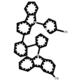 N#Cc1ccc(-n2c3ccccc3c3ccc(-c4ccccc4-c4ccccc4-n4c5ccccc5c5cc(C#N)ccc54)cc32)cc1